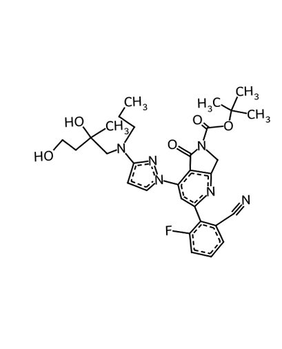 CCCN(CC(C)(O)CCO)c1ccn(-c2cc(-c3c(F)cccc3C#N)nc3c2C(=O)N(C(=O)OC(C)(C)C)C3)n1